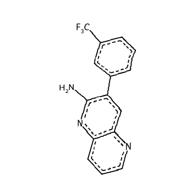 Nc1nc2cccnc2cc1-c1cccc(C(F)(F)F)c1